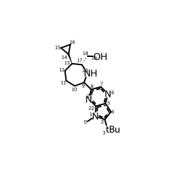 Cn1c(C(C)(C)C)cc2ncc(C3CCC[C@@H](C4CC4)[C@H](CO)N3)nc21